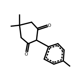 Cc1ccc(C2C(=O)CC(C)(C)CC2=O)cc1